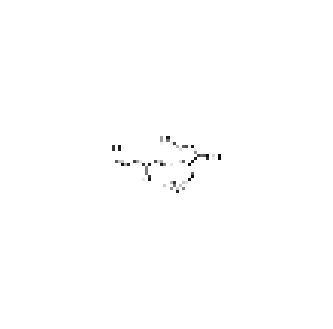 CC/C=C\CC(=O)/C=C/[C@H]1[C@H](CC(=O)O)[C@H](O)C[C@@H]1O